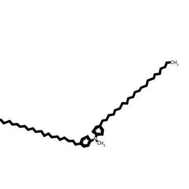 CCCCCCCCCCCCCCCCCCCCCCc1ccc(N(C)c2ccc(CCCCCCCCCCCCCCCCCCCCCC)cc2)cc1